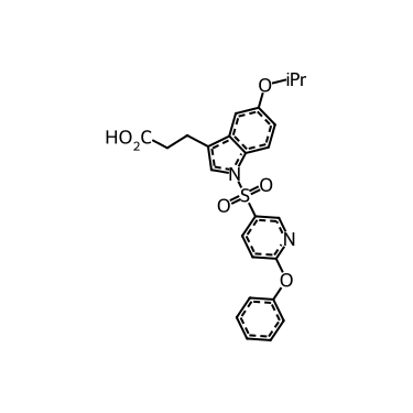 CC(C)Oc1ccc2c(c1)c(CCC(=O)O)cn2S(=O)(=O)c1ccc(Oc2ccccc2)nc1